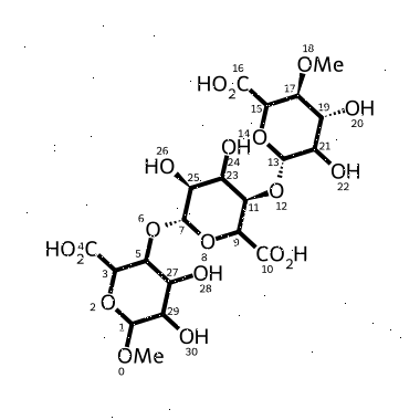 COC1OC(C(=O)O)C(O[C@H]2OC(C(=O)O)[C@H](O[C@@H]3OC(C(=O)O)[C@@H](OC)[C@H](O)C3O)C(O)[C@@H]2O)C(O)C1O